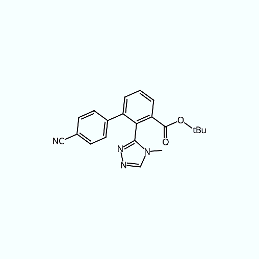 Cn1cnnc1-c1c(C(=O)OC(C)(C)C)cccc1-c1ccc(C#N)cc1